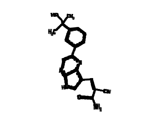 CC(C)(O)c1cccc(-c2cnc3[nH]cc(C=C(C#N)C(N)=O)c3n2)c1